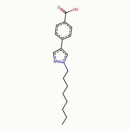 CCCCCCCCn1cc(-c2ccc(C(=O)O)cc2)cn1